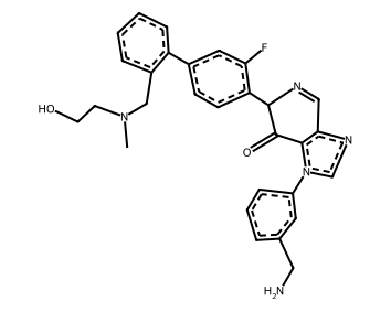 CN(CCO)Cc1ccccc1-c1ccc(C2N=Cc3ncn(-c4cccc(CN)c4)c3C2=O)c(F)c1